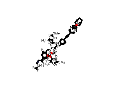 COC(=O)N[C@H](C(=O)N[C@@H](Cc1ccc(C#Cc2cnc(N3CC4CCC(C3)N4C3COC3)nc2)cc1)[C@H](CN(Cc1c(F)cc(C(=N)/C=C\NC(F)F)cc1F)NC(=O)[C@@H](NC(=O)OC)C(C)(C)C(F)(F)F)O[PH](=O)O)C(C)(C)C(F)(F)F